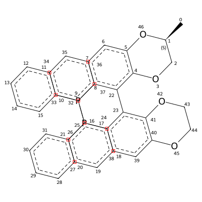 C[C@H]1COc2c(ccc(P(c3ccccc3)c3ccccc3)c2-c2c(P(c3ccccc3)c3ccccc3)ccc3c2OCCO3)O1